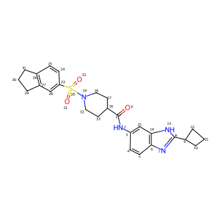 O=C(Nc1ccc2nc(C3CCC3)[nH]c2c1)C1CCN(S(=O)(=O)c2ccc3c(c2)CCC3)CC1